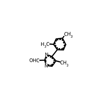 Cc1ccc(-c2nc(C=O)ncc2C)c(C)c1